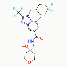 COC1(CNC(=O)c2cc(C)n3c(CC4CCC(F)(F)CC4)c(C(F)(F)F)nc3c2)CCOCC1